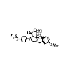 COc1cc(CN2CN(c3ccc(SC(F)(F)F)cc3)C(C(=O)C=O)C2(C)C)ccn1